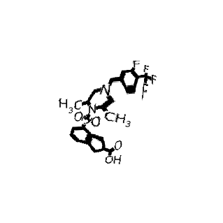 CC1CN(Cc2ccc(C(F)(F)F)c(F)c2)CC(C)N1S(=O)(=O)c1cccc2c1CC(C(=O)O)C2